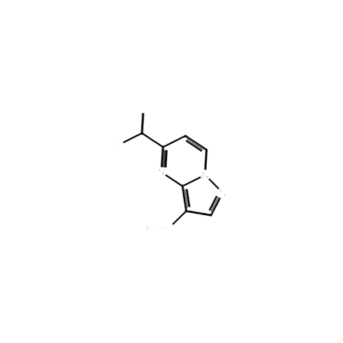 O=C(O)c1cnn2ccc(C(F)F)nc12